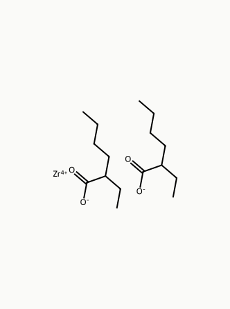 CCCCC(CC)C(=O)[O-].CCCCC(CC)C(=O)[O-].[Zr+4]